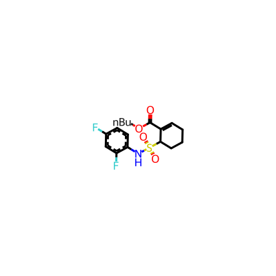 CCCCOC(=O)C1=CCCCC1S(=O)(=O)Nc1ccc(F)cc1F